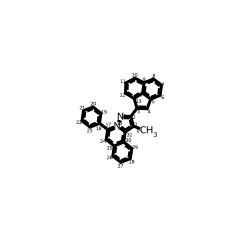 Cc1c(C2=Cc3cccc4cccc2c34)nn2c(-c3ccccc3)cc3ccccc3c12